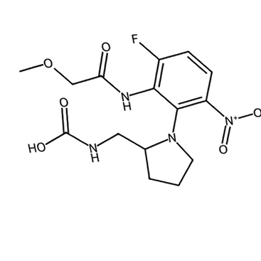 COCC(=O)Nc1c(F)ccc([N+](=O)[O-])c1N1CCCC1CNC(=O)O